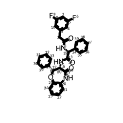 O=C(Cc1cc(F)cc(F)c1)N[C@H](C(=O)N[C@H]1C(=O)Nc2ccccc2O[C@@H]1c1ccccc1)c1ccccc1